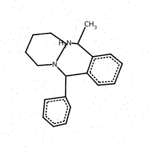 CC(N)c1ccccc1C(c1ccccc1)N1CCCCC1